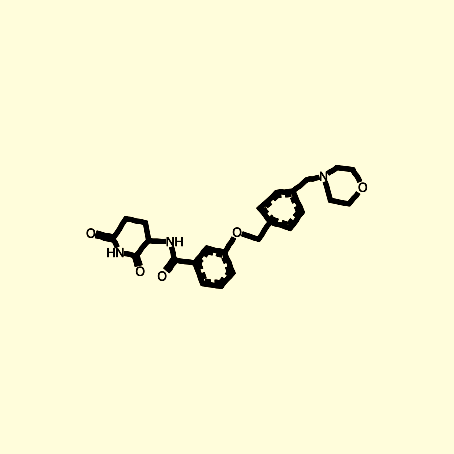 O=C1CCC(NC(=O)c2cccc(OCc3ccc(CN4CCOCC4)cc3)c2)C(=O)N1